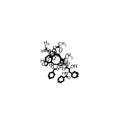 CBO[C@H]1C[C@H]2OC[C@@]2(OC(C)=O)[C@H]2[C@H](OC(=O)c3ccccc3)[C@]3(O)C[C@H](OC(=O)[C@H](O)[C@@H](NC(=O)c4ccccc4)c4ccccc4)C(C)=C([C@@H](OC(C)=O)C(=O)[C@]12C)C3(C)C